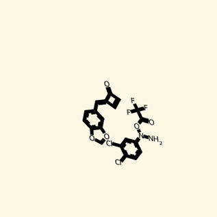 NN(OC(=O)C(F)(F)F)c1ccc(Cl)c(Cl)c1.O=C1C=CC1=Cc1ccc2c(c1)OCO2